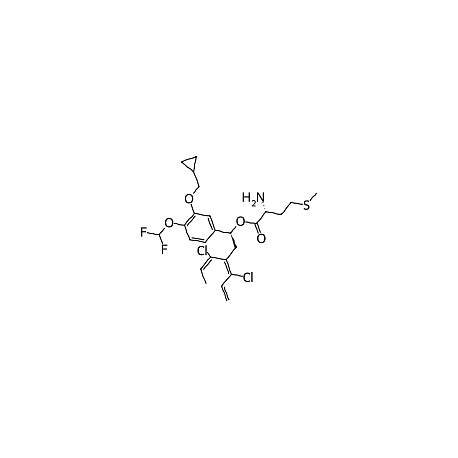 C=C/C(Cl)=C(C[C@H](OC(=O)[C@H](N)CCSC)c1ccc(OC(F)F)c(OCC2CC2)c1)\C(Cl)=C/C